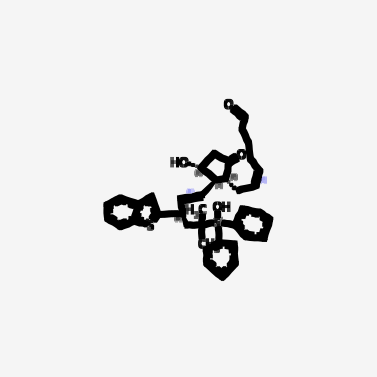 CC(C)(C[C@H](/C=C/[C@H]1[C@H](O)CC(=O)[C@@H]1C/C=C\CCCC=O)c1cc2ccccc2s1)[Si](O)(c1ccccc1)c1ccccc1